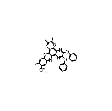 Cc1cc2nc3c4nc(C)c(C)nc4c4nc(Oc5ccccc5)c(Oc5ccccc5)nc4c3nc2cc1C(F)(F)F